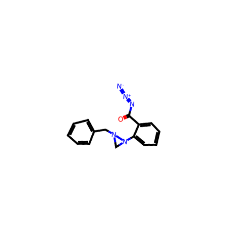 [N-]=[N+]=NC(=O)c1ccccc1N1CN1Cc1ccccc1